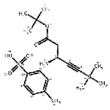 CC(C)(C)OC(=O)C[C@H](N)C#C[Si](C)(C)C.Cc1ccc(S(=O)(=O)O)cc1